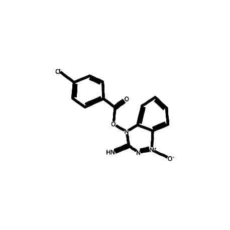 N=c1n[n+]([O-])c2ccccc2n1OC(=O)c1ccc(Cl)cc1